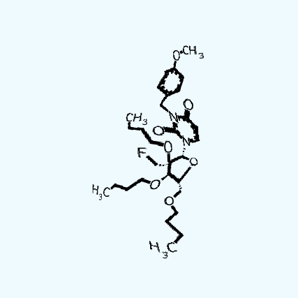 CCCCOC[C@H]1O[C@@H](n2ccc(=O)n(Cc3ccc(OC)cc3)c2=O)[C@](CF)(OCCCC)[C@@H]1OCCCC